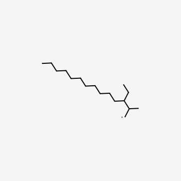 [CH2]C(C)C(CC)CCCCCCCCCCC